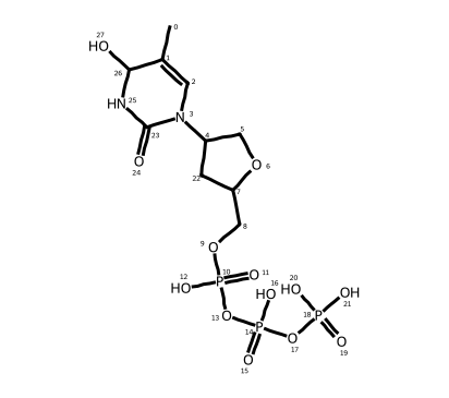 CC1=CN(C2COC(COP(=O)(O)OP(=O)(O)OP(=O)(O)O)C2)C(=O)NC1O